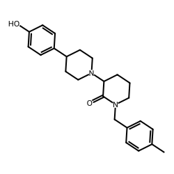 Cc1ccc(CN2CCCC(N3CCC(c4ccc(O)cc4)CC3)C2=O)cc1